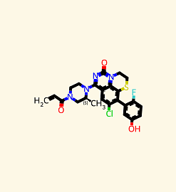 C=CC(=O)N1CCN(c2nc(=O)n3c4c(c(-c5cc(O)ccc5F)c(Cl)cc24)SCC3)[C@@H](C)C1